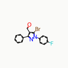 O=Cc1c(-c2ccccc2)nn(-c2ccc(F)cc2)c1Br